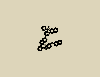 S=P(c1ccccc1)(c1ccc2ccccc2c1)c1ccc(-c2ccc3c(ccc4c5ccccc5c5nc6ccc(Cc7ccc8ccccc8c7)cc6n5c34)c2)cn1